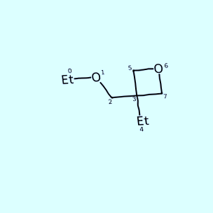 CCOCC1(CC)COC1